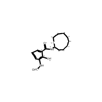 O=CNc1cccc(C(=O)NC2CCCCCCCCC2)c1O